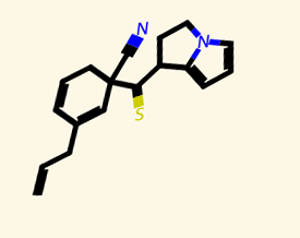 C=CCC1=CC(C#N)(C(=S)C2CCn3cccc32)CC=C1